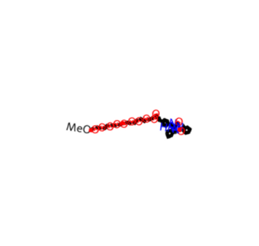 COCCOCCOCCOCCOCCOCCOCCOCCOCCOC(=O)C=Cc1ccc(-c2nc3c(=O)n(CC4CCCCC4)c(=O)n(CC4CCCCC4)c3[nH]2)cc1